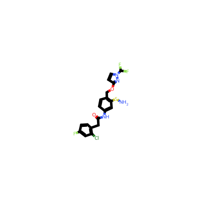 NSc1cc(NC(=O)Cc2ccc(F)cc2Cl)ccc1COc1ccn(C(F)F)n1